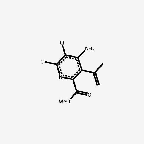 C=C(C)c1c(C(=O)OC)nc(Cl)c(Cl)c1N